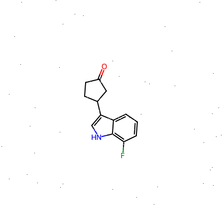 O=C1CCC(c2c[nH]c3c(F)cccc23)C1